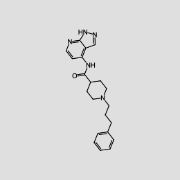 O=C(Nc1ccnc2[nH]ncc12)C1CCN(CCCc2ccccc2)CC1